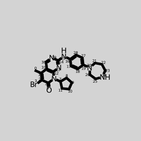 Cc1c(Br)c(=O)n(C2CCCC2)c2nc(Nc3ccc(N4CCCNCC4)cc3)ncc12